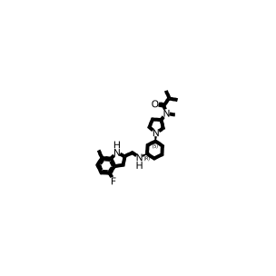 Cc1ccc(F)c2c1NC(CN[C@@H]1CCC[C@H](N3CCC(N(C)C(=O)C(C)C)C3)C1)C2